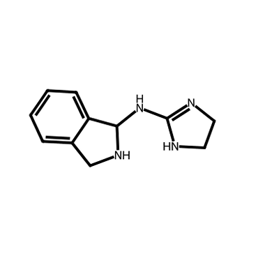 c1ccc2c(c1)CNC2NC1=NCCN1